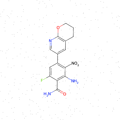 NC(=O)c1c(F)cc(-c2cnc3c(c2)CCCO3)c([N+](=O)[O-])c1N